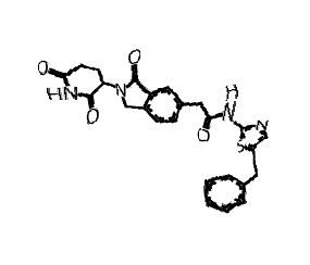 O=C1CCC(N2Cc3ccc(CC(=O)Nc4ncc(Cc5ccccc5)s4)cc3C2=O)C(=O)N1